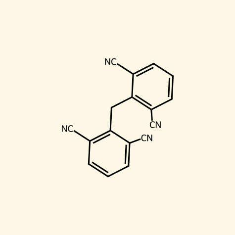 N#Cc1cccc(C#N)c1Cc1c(C#N)cccc1C#N